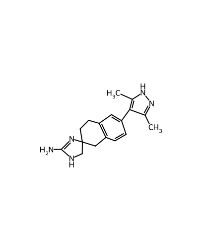 Cc1n[nH]c(C)c1-c1ccc2c(c1)CCC1(CNC(N)=N1)C2